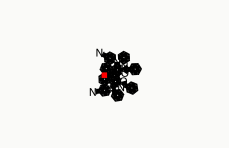 N#Cc1ccc(N(c2ccccc2)c2cc3c(c4oc(-c5ccccc5)nc24)-c2c(cc(N(c4ccccc4)c4ccc(C#N)cc4)c4nc(-c5ccccc5)oc24)C3(c2ccccc2)c2ccccc2)cc1